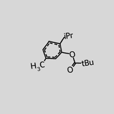 Cc1ccc(C(C)C)c(OC(=O)C(C)(C)C)c1